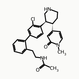 CC(=O)NCCc1ccccc1-c1ccc([C@H]2CNCC[C@@H]2c2ccn(C)c(=O)c2)c(Cl)c1